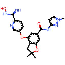 Cn1ccc(NC(=O)c2cc(Oc3ccc(C(=N)NO)nc3)c3c(c2)OC(C)(C)C3)n1